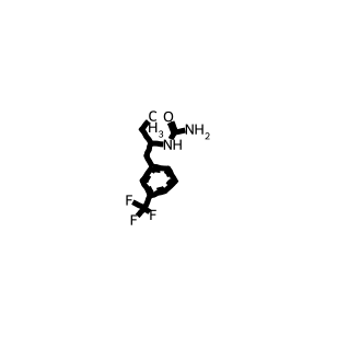 CCC(Cc1cccc(C(F)(F)F)c1)NC(N)=O